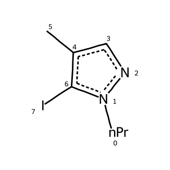 CCCn1ncc(C)c1I